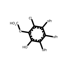 CCCc1c(O)c(OC(=O)O)c(Cl)c(CCC)c1CCC